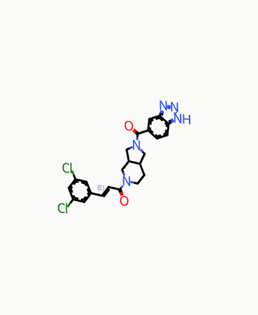 O=C(/C=C/c1cc(Cl)cc(Cl)c1)N1CCC2CN(C(=O)c3ccc4[nH]nnc4c3)CC2C1